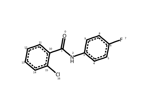 O=C(Nc1ccc(F)cc1)c1c[c]ccc1Cl